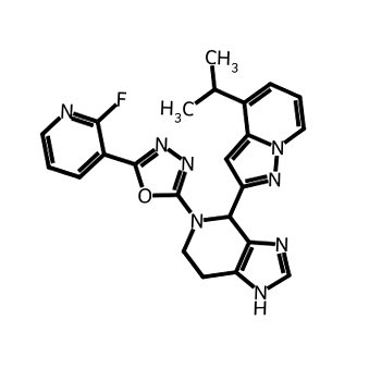 CC(C)c1cccn2nc(C3c4nc[nH]c4CCN3c3nnc(-c4cccnc4F)o3)cc12